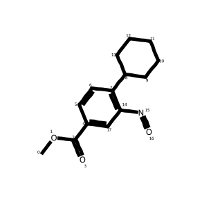 COC(=O)c1ccc(C2CCCCC2)c(N=O)c1